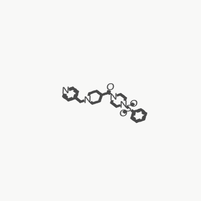 O=C(C1CCN(Cc2ccncc2)CC1)N1CCN(S(=O)(=O)c2ccccc2)CC1